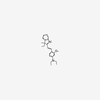 CCN(CC)c1ccc(/C=C/C2=[N+](C)c3ccccc3C2(C)CC)c(OC)c1